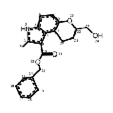 Cc1[nH]c2ccc3c(c2c1C(=O)OCc1ccccc1)CCC(CO)O3